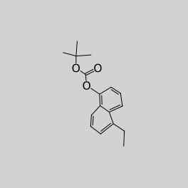 CCc1cccc2c(OC(=O)OC(C)(C)C)cccc12